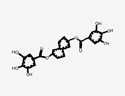 O=C(Oc1ccc2cc(OC(=O)c3cc(O)c(O)c(O)c3)ccc2c1)c1cc(O)c(O)c(O)c1